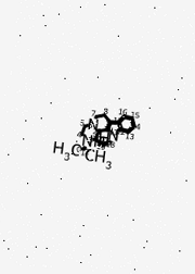 CC(C)N1CCN2CCc3c4n(c5ccccc35)C=C[C@@H]1[C@H]42